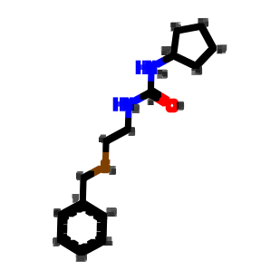 O=C(NCCSCc1ccccc1)NC1CCCC1